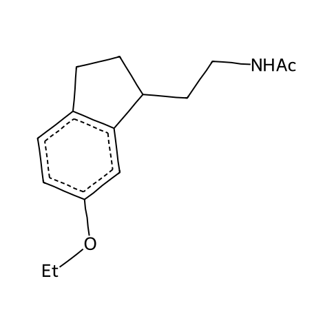 CCOc1ccc2c(c1)C(CCNC(C)=O)CC2